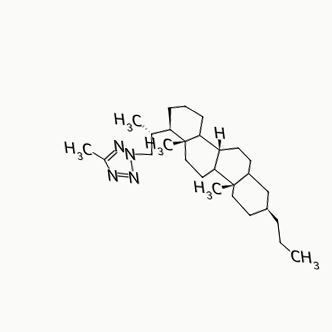 CCC[C@H]1CC[C@@]2(C)C(CC[C@@H]3C2CC[C@@]2(C)C3CCC[C@@H]2[C@@H](C)Cn2nnc(C)n2)C1